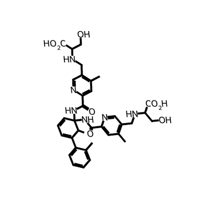 Cc1cc(C(=O)NC2(NC(=O)c3cc(C)c(CNC(CO)C(=O)O)cn3)C=CC=C(c3ccccc3C)C2C)ncc1CNC(CO)C(=O)O